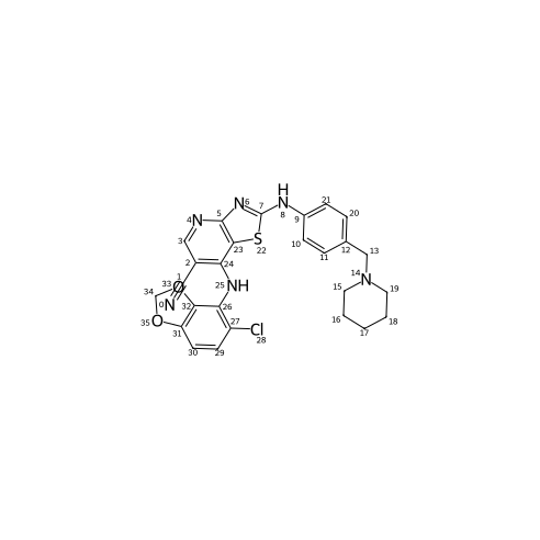 N#Cc1cnc2nc(Nc3ccc(CN4CCCCC4)cc3)sc2c1Nc1c(Cl)ccc2c1OCO2